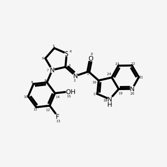 O=C(/N=C1\SCCN1c1cccc(F)c1O)c1c[nH]c2ncccc12